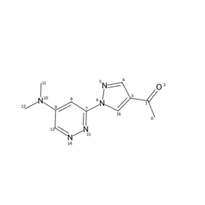 CC(=O)c1cnn(-c2cc(N(C)C)cnn2)c1